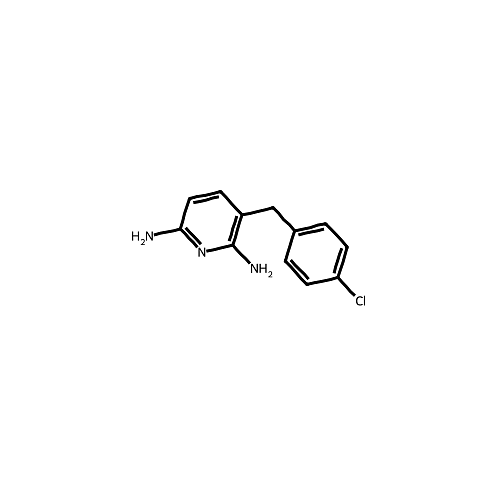 Nc1ccc(Cc2ccc(Cl)cc2)c(N)n1